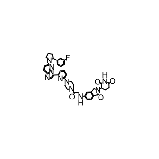 O=C1CCC(N2Cc3cc(NCC(=O)N4CCN(c5cccc(-c6cnc7ccc(N8CCCC8c8cccc(F)c8)nn67)n5)CC4)ccc3C2=O)C(=O)N1